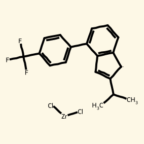 CC(C)C1=Cc2c(cccc2-c2ccc(C(F)(F)F)cc2)[CH]1.[Cl][Zr][Cl]